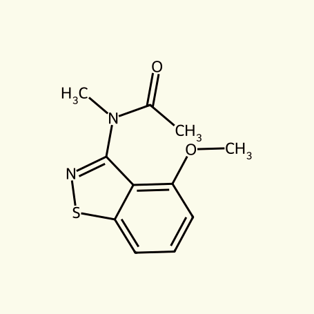 COc1cccc2snc(N(C)C(C)=O)c12